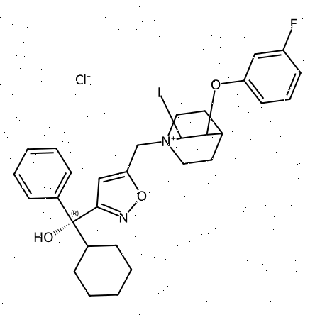 O[C@](c1ccccc1)(c1cc(C[N+]23CCC(CC2)C(Oc2cccc(F)c2)C3I)on1)C1CCCCC1.[Cl-]